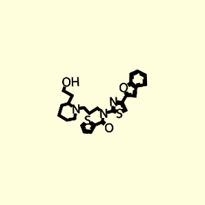 O=C(c1cccs1)N(CCCN1CCCCC1CCO)c1nc(-c2cc3ccccc3o2)cs1